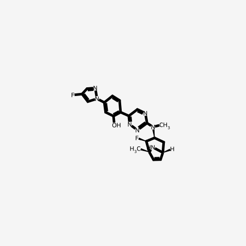 CN(c1ncc(-c2ccc(-n3cc(F)cn3)cc2O)nn1)[C@H]1C[C@@H]2C=C[C@@](C)(N2)[C@H]1F